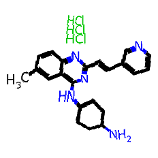 Cc1ccc2nc(C=Cc3cccnc3)nc(NC3CCC(N)CC3)c2c1.Cl.Cl.Cl